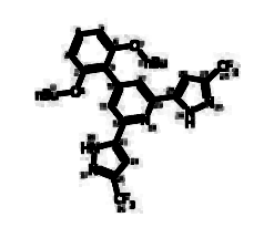 CCCCOc1cccc(OCCCC)c1-c1cc(-c2cc(C(F)(F)F)n[nH]2)nc(-c2cc(C(F)(F)F)n[nH]2)c1